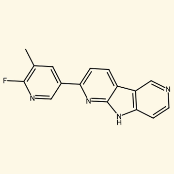 Cc1cc(-c2ccc3c(n2)[nH]c2ccncc23)cnc1F